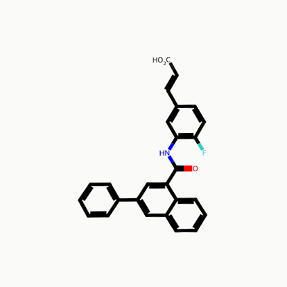 O=C(O)/C=C/c1ccc(F)c(NC(=O)c2cc(-c3ccccc3)cc3ccccc23)c1